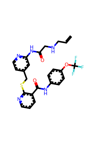 C=CCNCC(=O)Nc1cc(CSc2ncccc2C(=O)Nc2ccc(OC(F)(F)F)cc2)ccn1